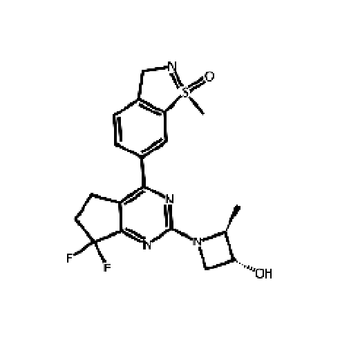 C[C@H]1[C@H](O)CN1c1nc(-c2ccc3c(c2)S(C)(=O)=NC3)c2c(n1)C(F)(F)CC2